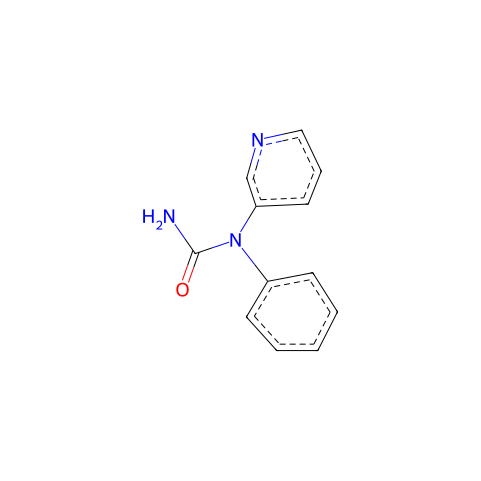 NC(=O)N(c1ccccc1)c1cccnc1